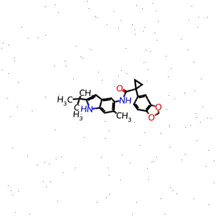 Cc1cc2[nH]c(C(C)(C)C)cc2cc1NC(=O)C1(c2ccc3c(c2)OCO3)CC1